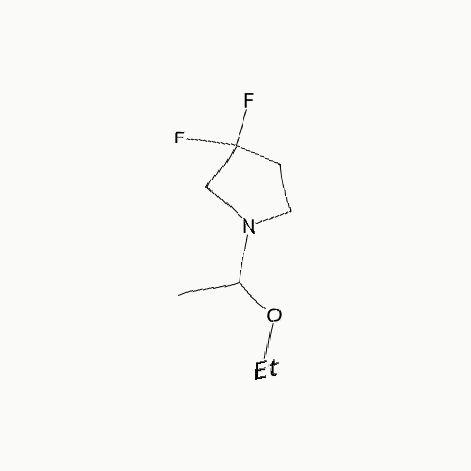 CCOC(C)N1CCC(F)(F)C1